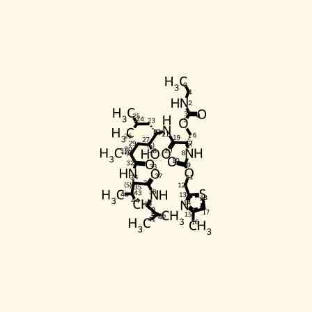 CCNC(=O)OC[C@H](NC(=O)OCc1nc(C)cs1)C(=O)N[C@@H](CC(C)C)[C@@H](O)C[C@@H](C)C(=O)N[C@H](C(=O)NCC(C)C)C(C)C